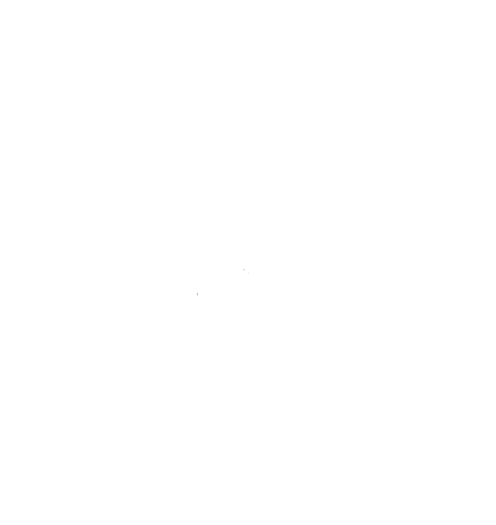 COC(=O)[C@H](C)NC(=O)C(C)(C)Br